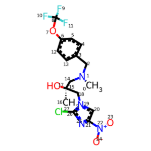 CN(Cc1ccc(OC(F)(F)F)cc1)C[C@](C)(O)Cn1cc([N+](=O)[O-])nc1Cl